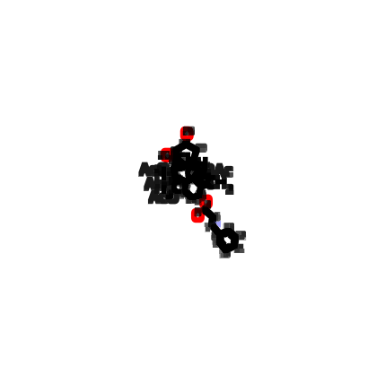 C=C1[C@@H](OC(=O)/C=C/c2ccccc2)C[C@H](OC(C)=O)[C@@]2(C)[C@@H](OC(C)=O)[C@H](OC(C)=O)[C@@]34O[C@]3(C)C(=O)C[C@@H]([C@@H](OC(C)=O)[C@H]12)C4(C)C